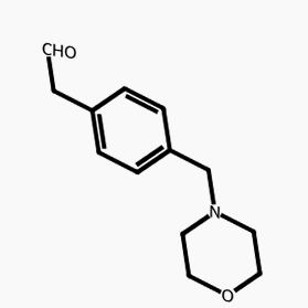 O=CCc1ccc(CN2CCOCC2)cc1